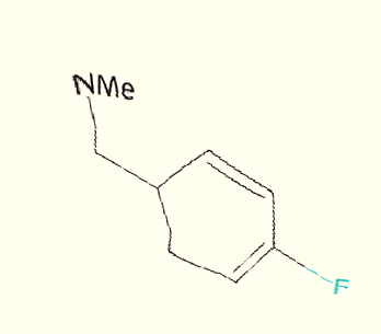 CNCC1C=CC(F)=CC1